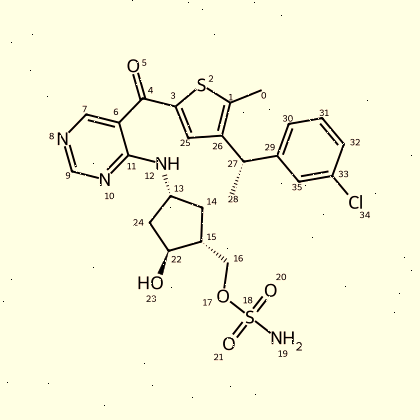 Cc1sc(C(=O)c2cncnc2N[C@@H]2C[C@H](COS(N)(=O)=O)[C@@H](O)C2)cc1[C@@H](C)c1cccc(Cl)c1